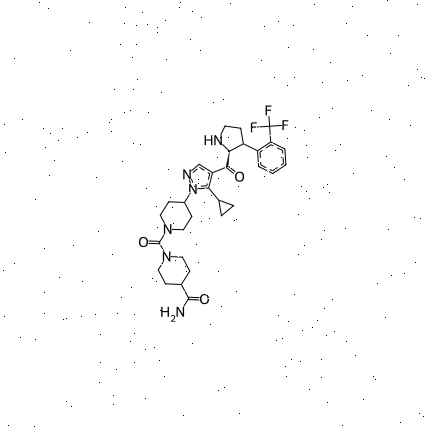 NC(=O)C1CCN(C(=O)N2CCC(n3ncc(C(=O)[C@H]4NCCC4c4ccccc4C(F)(F)F)c3C3CC3)CC2)CC1